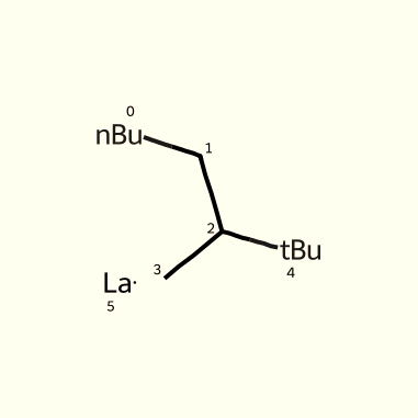 CCCCCC(C)C(C)(C)C.[La]